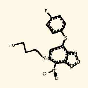 O=[N+]([O-])c1c(NCCCO)cc(Sc2ccc(F)cc2)c2nonc12